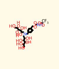 O=C(NOC(=O)C(F)(F)F)OCc1ccc(CN(C[C@H](O)[C@@H](O)[C@H](O)[C@H](O)CO)C[C@H](O)[C@@H](O)[C@H](O)[C@H](O)CO)cc1